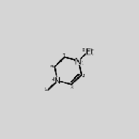 CCN1C=CN(C)CC1